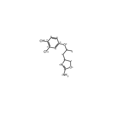 CC(CC1COC(N)=N1)Oc1ccc(Cl)c(Cl)c1